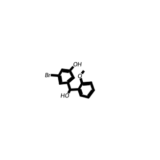 COc1ccccc1C(O)c1cc(O)cc(Br)c1